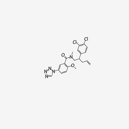 C=CCC(CN(C)C(=O)c1cc(-n2cnnn2)ccc1OC)c1ccc(Cl)c(Cl)c1